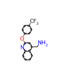 NCc1cc(Oc2ccc(C(F)(F)F)cc2)nc2ccccc12